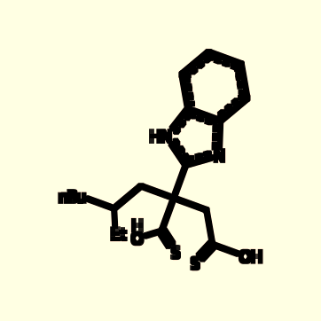 CCCCC(CC)CC(CC(O)=S)(C(O)=S)c1nc2ccccc2[nH]1